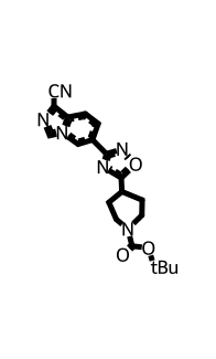 CC(C)(C)OC(=O)N1CCC(c2nc(-c3ccc4c(C#N)ncn4c3)no2)CC1